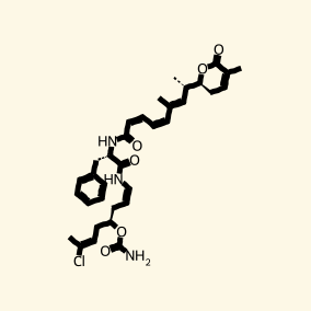 CC1=CC[C@@H]([C@@H](C)/C=C(C)/C=C\C=C/C(=O)N[C@@H](Cc2ccccc2)C(=O)N/C=C\C[C@H](C/C=C(\C)Cl)OC(N)=O)OC1=O